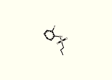 CCCS(=O)(=O)Nc1ccccc1F